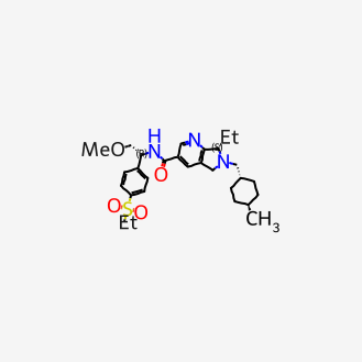 CC[C@H]1c2ncc(C(=O)N[C@@H](COC)c3ccc(S(=O)(=O)CC)cc3)cc2CN1C[C@H]1CC[C@H](C)CC1